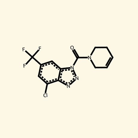 O=C(N1CC=CCC1)n1nnc2c(Cl)cc(C(F)(F)F)cc21